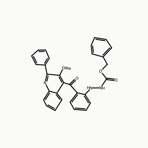 COc1c(-c2ccccc2)nc2ccccc2c1C(=O)c1ccccc1NNC(=O)OCc1ccccc1